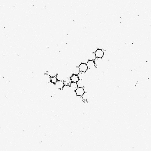 CC1CCN(c2nc(N3CCN(CC(=O)N4CCOCC4)CC3)ccc2NC(=O)Oc2ccc(C#N)o2)CC1